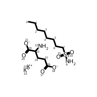 CCCCCCCCS(N)(=O)=O.NC(CCC(=O)[O-])C(=O)[O-].[K+].[K+]